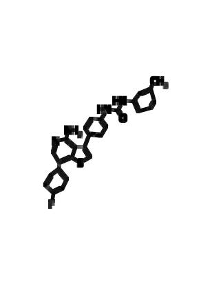 Cc1cccc(NC(=O)Nc2ccc(-c3csc4c(-c5ccc(F)cc5)cnc(N)c34)cc2)c1